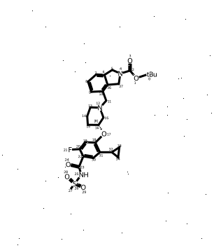 CC(C)(C)OC(=O)N1Cc2cccc(CN3CCC[C@@H](Oc4cc(F)c(C(=O)NS(C)(=O)=O)cc4C4CC4)C3)c2C1